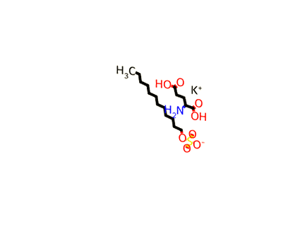 CCCCCCCCCCCCOS(=O)(=O)[O-].NC(CCC(=O)O)C(=O)O.[K+]